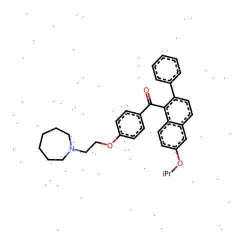 CC(C)Oc1ccc2c(C(=O)c3ccc(OCCN4CCCCCC4)cc3)c(-c3ccccc3)ccc2c1